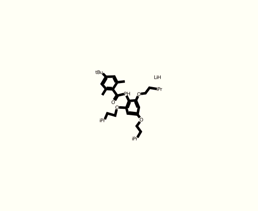 Cc1cc(C(C)(C)C)cc(C)c1C(=O)Pc1c(OCCC(C)C)cc(OCCC(C)C)cc1OCCC(C)C.[LiH]